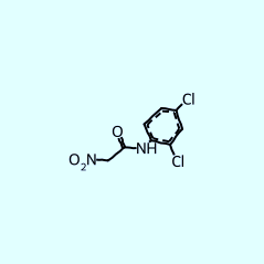 O=C(C[N+](=O)[O-])Nc1ccc(Cl)cc1Cl